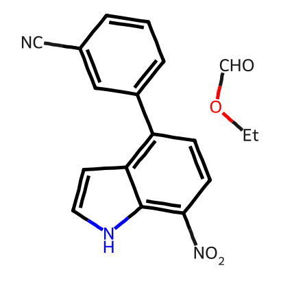 CCOC=O.N#Cc1cccc(-c2ccc([N+](=O)[O-])c3[nH]ccc23)c1